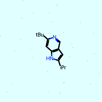 CC(C)c1cc2cnc(C(C)(C)C)cc2[nH]1